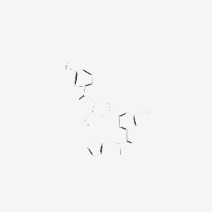 CN(Cc1ccco1)C(=O)c1cc(NI)cc(C2CCN(C(=O)c3cccc(NI)c3)C(CO)C2)c1